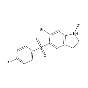 O=S(=O)(c1ccc(F)cc1)c1cc2c(cc1Br)[NH+]([O-])CC2